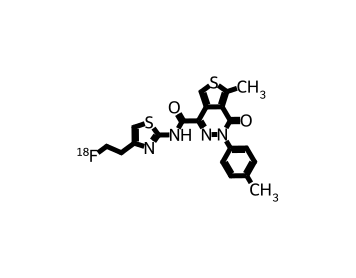 Cc1ccc(-n2nc(C(=O)Nc3nc(CC[18F])cs3)c3csc(C)c3c2=O)cc1